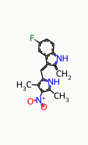 C=c1[nH]c2ccc(F)cc2/c1=C/c1[nH]c(C)c([N+](=O)[O-])c1C